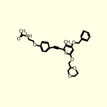 CC(=O)NCCOc1ccc(C#Cc2nc(OCC3COCCO3)cc(OCc3ccccc3)c2C)cc1